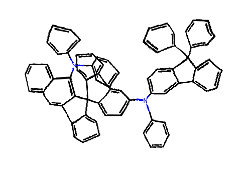 c1ccc(N(c2ccc3c(c2)-c2ccccc2C3(c2ccccc2)c2ccccc2)c2ccc3c(c2)-c2ccccc2C32c3ccccc3-c3cc4ccccc4c(N(c4ccccc4)c4ccccc4)c32)cc1